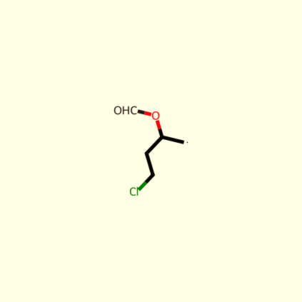 [CH2]C(CCCl)OC=O